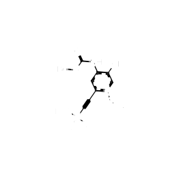 Cc1c[n+](N)c(C#C[Si](C)(C)C)cc1NC(=O)OC(C)(C)C